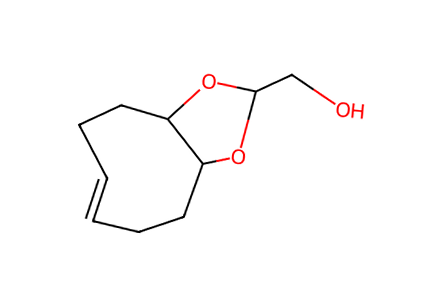 OCC1OC2CC/C=C/CCC2O1